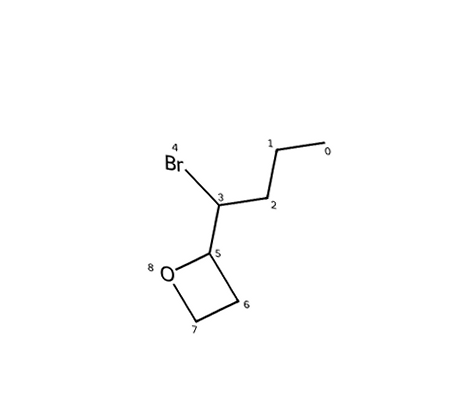 CCCC(Br)C1CCO1